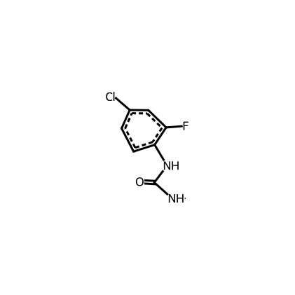 [NH]C(=O)Nc1ccc(Cl)cc1F